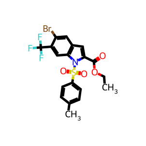 CCOC(=O)c1cc2cc(Br)c(C(F)(F)F)cc2n1S(=O)(=O)c1ccc(C)cc1